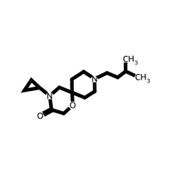 CC(C)CCN1CCC2(CC1)CN(C1CC1)C(=O)CO2